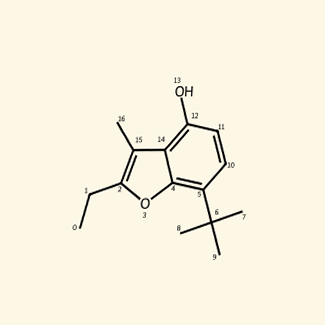 CCc1oc2c(C(C)(C)C)ccc(O)c2c1C